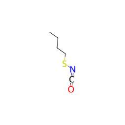 CCCCSN=C=O